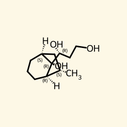 C[C@H]1C[C@@H]2CCC[C@H]1[C@@]2(O)[C@H](O)CCO